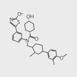 COc1ncc(-c2cccc(N(CC3CCC(c4ccc(OC)c(C)c4)CC3C)C(=O)[C@H]3CC[C@H](O)CC3)c2)s1